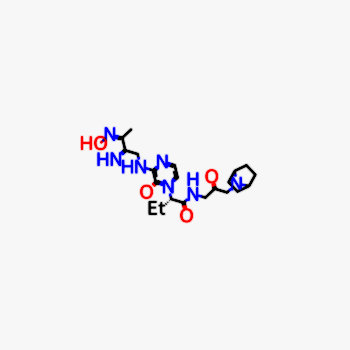 CC[C@@H](C(=O)NCC(=O)CN1C2CCC1CC2)n1ccnc(NCC(=N)/C(C)=N\O)c1=O